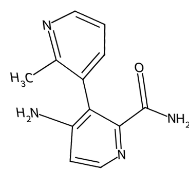 Cc1ncccc1-c1c(N)ccnc1C(N)=O